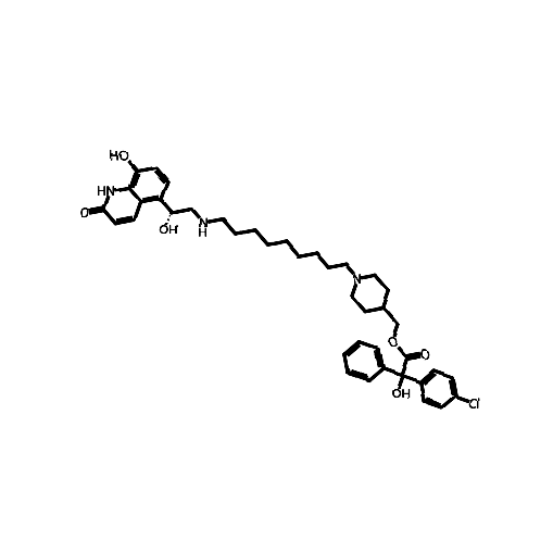 O=C(OCC1CCN(CCCCCCCCCNC[C@H](O)c2ccc(O)c3[nH]c(=O)ccc23)CC1)C(O)(c1ccccc1)c1ccc(Cl)cc1